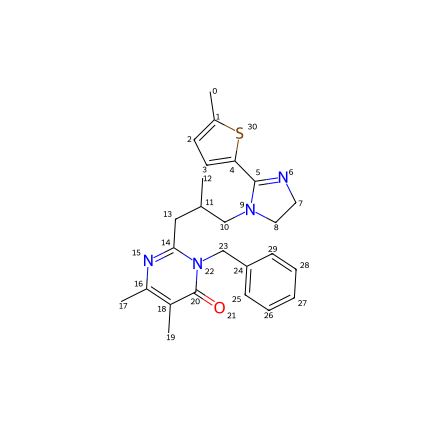 Cc1ccc(C2=NCCN2CC(C)Cc2nc(C)c(C)c(=O)n2Cc2ccccc2)s1